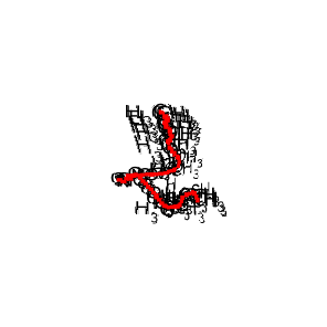 CC(C)(C)CCC(C)(C)COCCOC(C)(C)CCNC(=O)C(C)(C)CCOCCNC(=O)C(C)(C)CCOCCNC(=O)CCOCCOCCOCCOCCN(CCOCCOCCOCCOCCC(=O)NCCC(C)(C)OCCC(C)(C)C(=O)NCCCOCCC(C)(C)C(=O)NCCC(C)(C)OCC(C)(C)OCC(C)(C)CCC(C)(C)C)C(=O)c1ccc(-c2nnc([S+]=O)o2)cc1